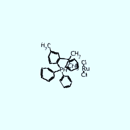 Cc1ccc([PH](c2ccccc2)(c2ccccc2)c2ccccc2)c(C(C)C)c1.[Cl][Ru][Cl]